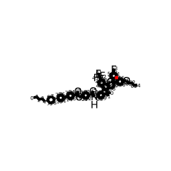 CCCCC[C@H]1CC[C@H](c2ccc(-c3ccc(C(=O)Oc4ccc(C(=O)Nc5ccc6c(c5)-c5c(c7c(c8cc(C(F)(F)F)ccc58)OC(c5ccc(F)cc5)(c5ccc(OCCCC)cc5)C=C7)C6(C)C)cc4)cc3)cc2)CC1